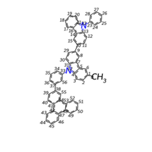 Cc1ccc2c(c1)c1cc(-c3ccc4c(c3)c3ccccc3n4-c3ccccc3)ccc1n2-c1cccc(-c2ccc3c4ccccc4c4ccccc4c3c2)c1